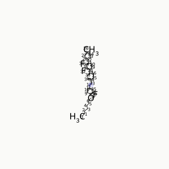 CCCCCCCOc1ccc(/C=C/c2ccc(-c3ccc(C4CCC(C)CC4)c(F)c3F)cc2)cc1F